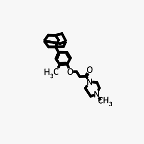 Cc1cc(C23CC4CC(CC(C4)C2)C3)ccc1OCCC(=O)N1CCN(C)CC1